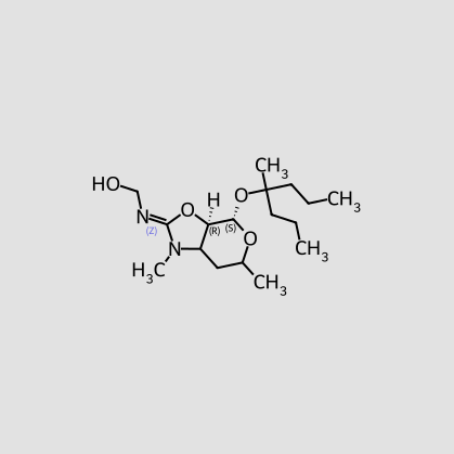 CCCC(C)(CCC)O[C@@H]1OC(C)CC2[C@H]1O/C(=N\CO)N2C